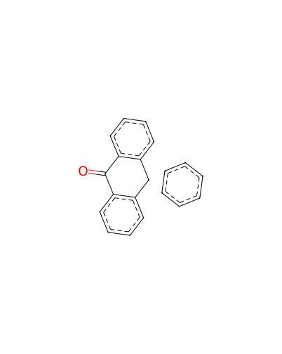 O=C1c2ccccc2Cc2ccccc21.c1ccccc1